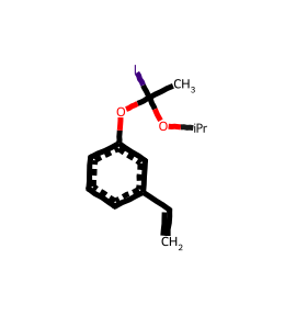 C=Cc1cccc(OC(C)(I)OC(C)C)c1